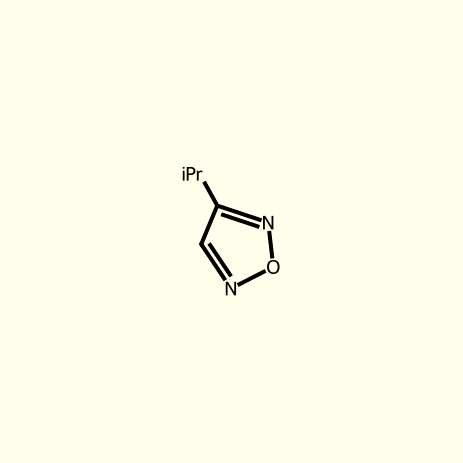 CC(C)c1cnon1